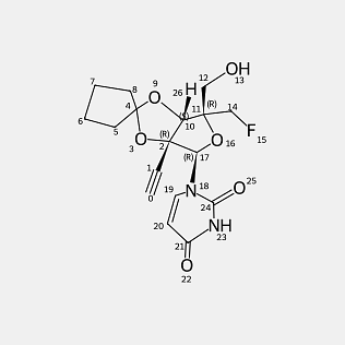 C#C[C@@]12OC3(CCCC3)O[C@@H]1[C@](CO)(CF)O[C@H]2n1ccc(=O)[nH]c1=O